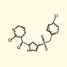 O=C(c1cc(S(=O)(=O)Cc2ccc(Cl)cc2)c[nH]1)c1cccnc1Cl